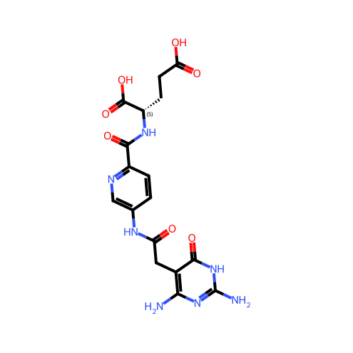 Nc1nc(N)c(CC(=O)Nc2ccc(C(=O)N[C@@H](CCC(=O)O)C(=O)O)nc2)c(=O)[nH]1